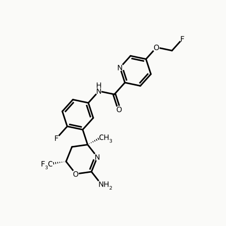 C[C@@]1(c2cc(NC(=O)c3ccc(OCF)cn3)ccc2F)C[C@@H](C(F)(F)F)OC(N)=N1